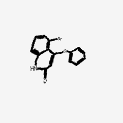 O=c1cc(Oc2ccccc2)c2c(Br)cccc2[nH]1